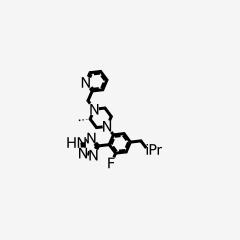 CC(C)Cc1cc(F)c(-c2nn[nH]n2)c(N2CCN(Cc3ccccn3)[C@@H](C)C2)c1